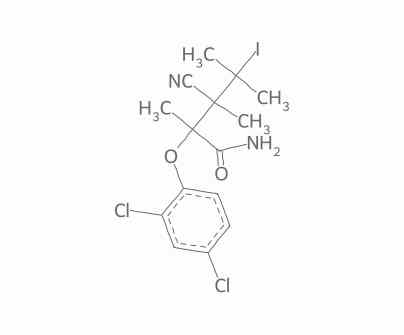 CC(C)(I)C(C)(C#N)C(C)(Oc1ccc(Cl)cc1Cl)C(N)=O